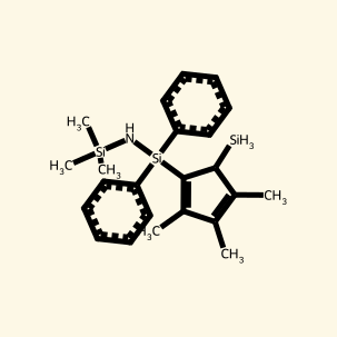 CC1=C(C)C([SiH3])C([Si](N[Si](C)(C)C)(c2ccccc2)c2ccccc2)=C1C